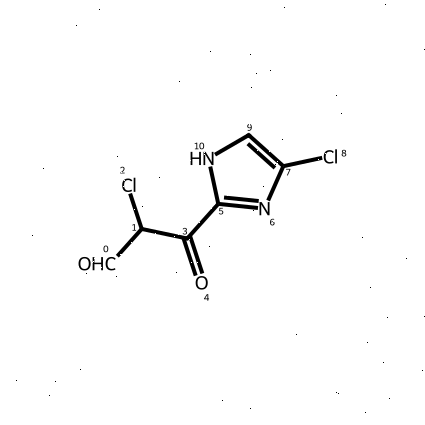 O=CC(Cl)C(=O)c1nc(Cl)c[nH]1